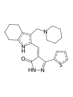 O=C1NN=C(c2cccs2)C1=Cc1[nH]c2c(c1CN1CCCCC1)CCCC2